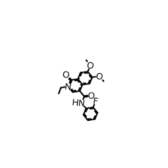 CCn1cc(C(=O)Nc2ccccc2F)c2cc(OC)c(OC)cc2c1=O